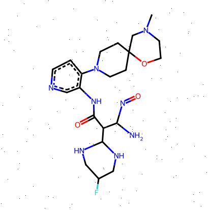 CN1CCOC2(CCN(c3ccncc3NC(=O)C(C(N)N=O)C3NCC(F)CN3)CC2)C1